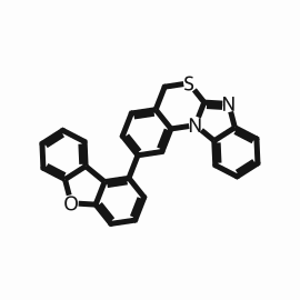 c1ccc2c(c1)nc1n2-c2cc(-c3cccc4oc5ccccc5c34)ccc2CS1